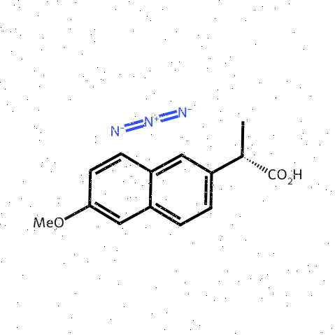 COc1ccc2cc([C@H](C)C(=O)O)ccc2c1.[N-]=[N+]=[N-]